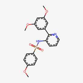 COc1ccc(S(=O)(=O)Nc2cccnc2-c2cc(OC)cc(OC)c2)cc1